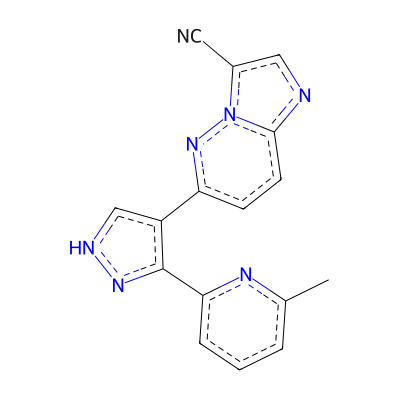 Cc1cccc(-c2n[nH]cc2-c2ccc3ncc(C#N)n3n2)n1